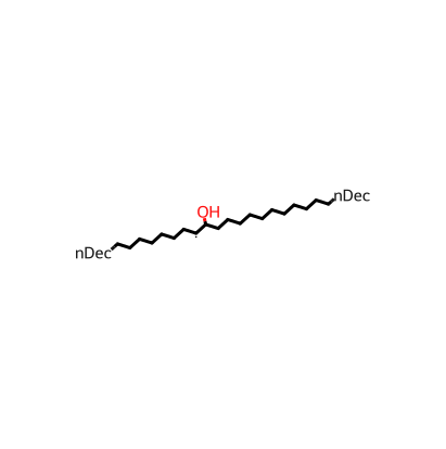 CCCCCCCCCCCCCCCCC[CH]C(O)CCCCCCCCCCCCCCCCCCCCC